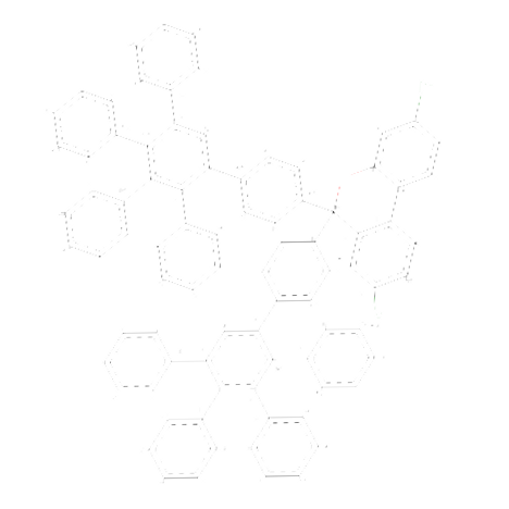 Brc1ccc2c(c1)OC(c1ccc(-c3cc(-c4ccccc4)c(-c4ccccc4)c(-c4ccccc4)c3-c3ccccc3)cc1)(c1ccc(-c3cc(-c4ccccc4)c(-c4ccccc4)c(-c4ccccc4)c3-c3ccccc3)cc1)c1cc(Br)ccc1-2